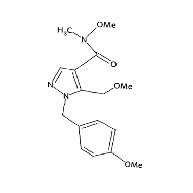 COCc1c(C(=O)N(C)OC)cnn1Cc1ccc(OC)cc1